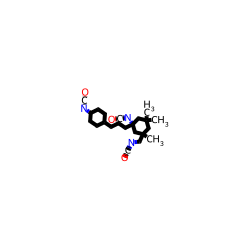 CC1(C)CC(C)(CN=C=O)CC(CCCC2CCC(N=C=O)CC2)(N=C=O)C1